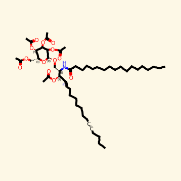 CCCCCCCCCCCCC/C=C/[C@@H](OC(C)=O)[C@H](CO[C@@H]1O[C@H](COC(C)=O)[C@H](OC(C)=O)C(OC(C)=O)C1OC(C)=O)NC(=O)CCCCCCCCCCCCCCCCC